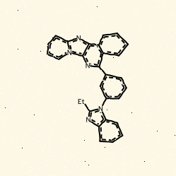 CCc1nc2ccccc2n1-c1cccc(-c2nc3c(nc4ccccn43)c3ccccc23)c1